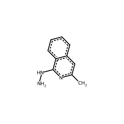 Cc1cc2ccccc2c(NN)n1